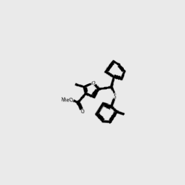 COC(=O)c1cc(C(Sc2ccccc2C)c2ccccc2)oc1C